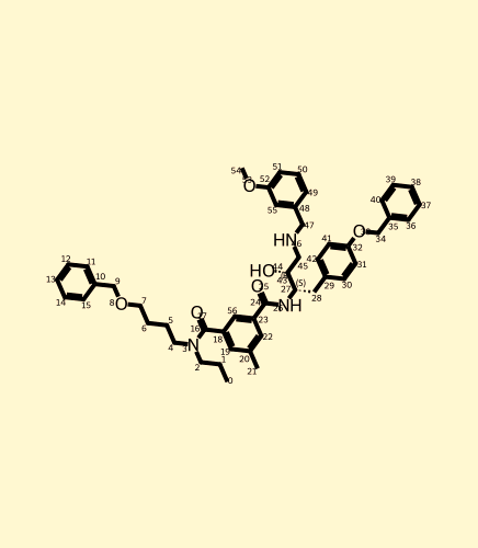 CCCN(CCCCOCc1ccccc1)C(=O)c1cc(C)cc(C(=O)N[C@@H](Cc2ccc(OCc3ccccc3)cc2)[C@H](O)CNCc2cccc(OC)c2)c1